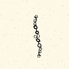 O=C(Oc1ccc(-c2ccc(OCOCC3CO3)cc2)cc1)c1ccc(C2CCC(OCOCC3CO3)CC2)cc1